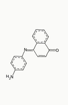 Nc1ccc(N=C2C=CC(=O)c3ccccc32)cc1